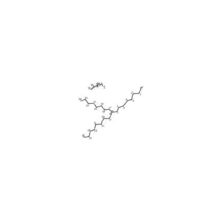 CCCCCCCCP(CCCCCCCC)CCCCCCCC.CCP